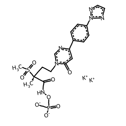 C[C@@](CCn1cnc(-c2ccc(-n3nccn3)cc2)cc1=O)(C(=O)NOP(=O)([O-])[O-])S(C)(=O)=O.[K+].[K+]